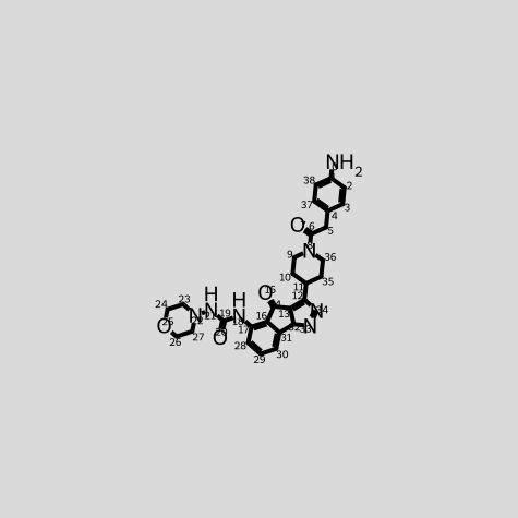 Nc1ccc(CC(=O)N2CCC(C3=C4C(=O)c5c(NC(=O)NN6CCOCC6)cccc5C4N=N3)CC2)cc1